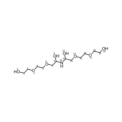 OCCOCCOCC(O)NC(O)COCCOCCO